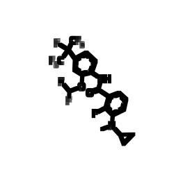 CN(c1cccc(C(=O)Nc2ccc(C(F)(C(F)(F)F)C(F)(F)F)cc2OC(F)F)c1F)C1CC1